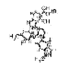 Cc1cc(-n2nc3c(c2-n2ccn(-c4ccc5c(cnn5C)c4F)c2=O)[C@H](C)N(C(O)OC(C)(C)C)CC3)ccc1F